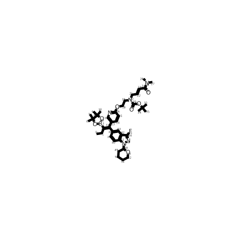 CC/C(B1OC(C)(C)C(C)(C)O1)=C(/c1ccc(OCCN(C/C=C/C(=O)N(C)C)C(=O)OC(C)(C)C)nc1)c1ccc2c(c1)c(F)nn2C1CCCCO1